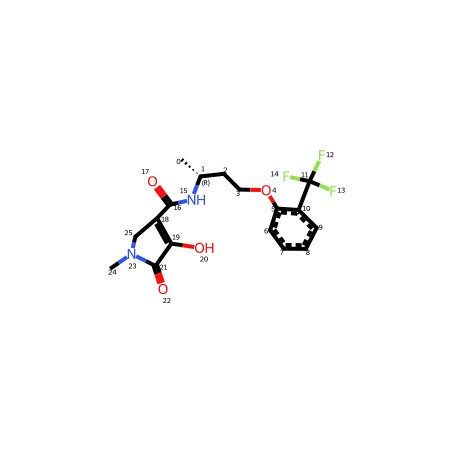 C[C@H](CCOc1ccccc1C(F)(F)F)NC(=O)C1=C(O)C(=O)N(C)C1